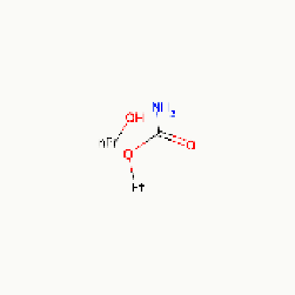 CCCO.CCOC(N)=O